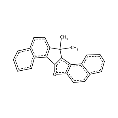 CC1(C)c2ccc3ccccc3c2-c2oc3ccc4ccccc4c3c21